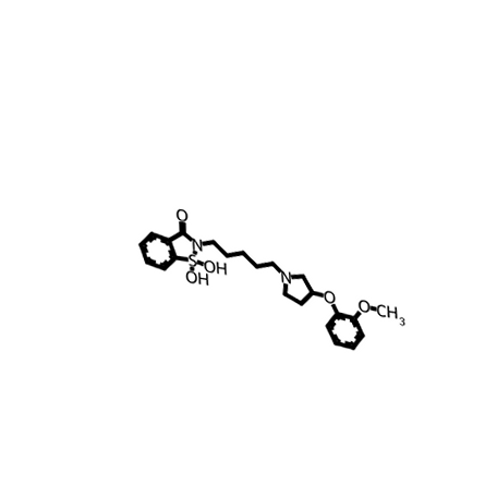 COc1ccccc1OC1CCN(CCCCCN2C(=O)c3ccccc3S2(O)O)C1